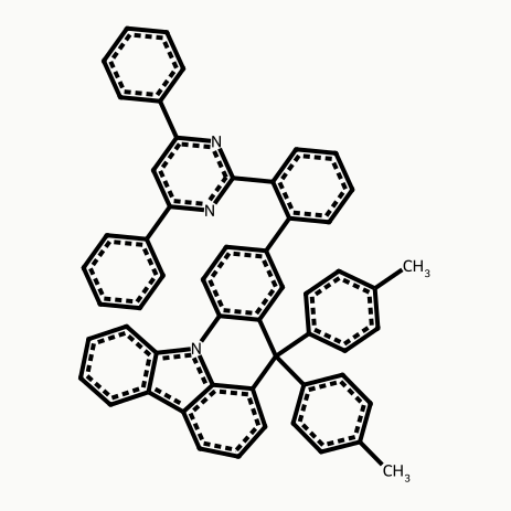 Cc1ccc(C2(c3ccc(C)cc3)c3cc(-c4ccccc4-c4nc(-c5ccccc5)cc(-c5ccccc5)n4)ccc3-n3c4ccccc4c4cccc2c43)cc1